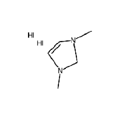 CN1C=CN(C)C1.I.I